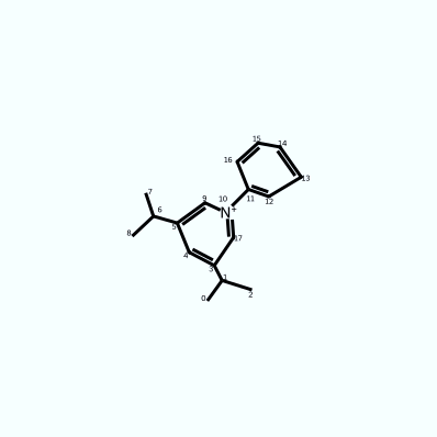 CC(C)c1cc(C(C)C)c[n+](-c2ccccc2)c1